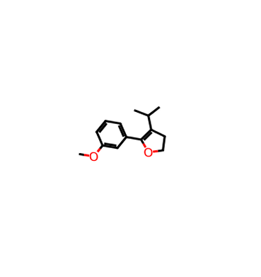 COc1cccc(C2=C(C(C)C)CCO2)c1